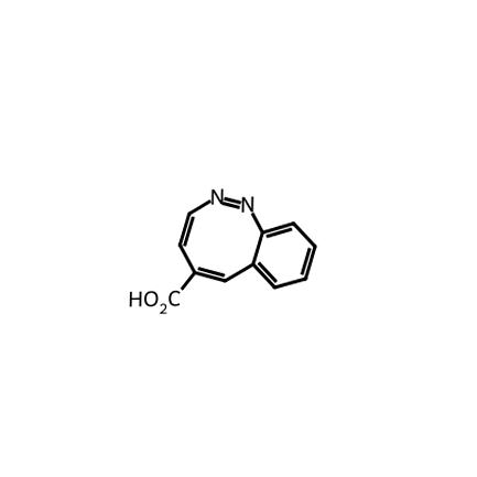 O=C(O)C1=Cc2ccccc2N=NC=C1